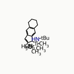 CC1=Cc2cc3c(cc2[CH]1[Ti]([CH3])([CH3])([NH]C(C)(C)C)[SiH](C)C)CCCC3